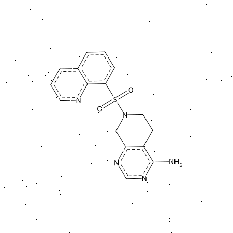 Nc1ncnc2c1CCN(S(=O)(=O)c1cccc3cccnc13)C2